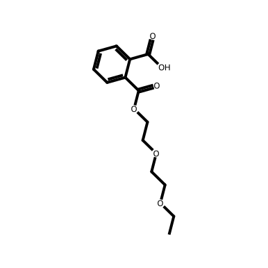 CCOCCOCCOC(=O)c1ccccc1C(=O)O